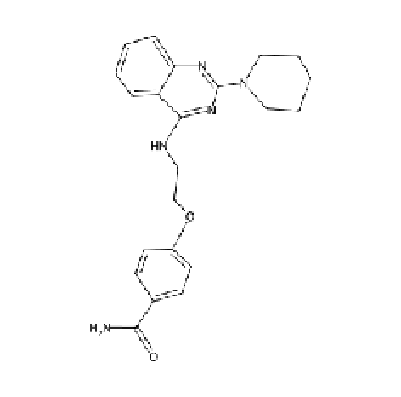 NC(=O)c1ccc(OCCNc2nc(N3CCCCC3)nc3ccccc23)cc1